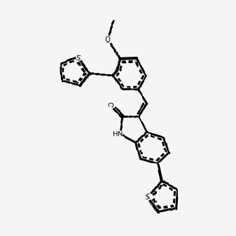 COc1ccc(C=C2C(=O)Nc3cc(-c4cccs4)ccc32)cc1-c1cccs1